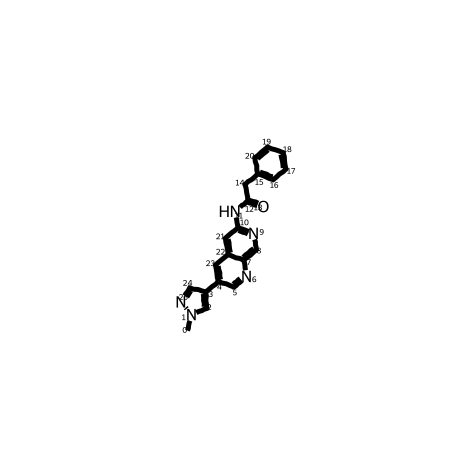 Cn1cc(-c2cnc3cnc(NC(=O)Cc4ccccc4)cc3c2)cn1